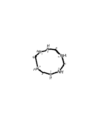 B1CNBCNCBNC1